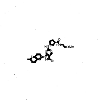 COCCNC(=O)[C@@H]1CC[C@@H](Nc2ncc3c(Br)nn(-c4ccc5nc(C)ccc5c4)c3n2)C1